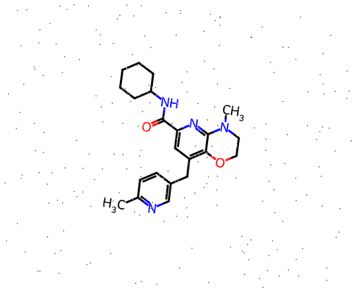 Cc1ccc(Cc2cc(C(=O)NC3CCCCC3)nc3c2OCCN3C)cn1